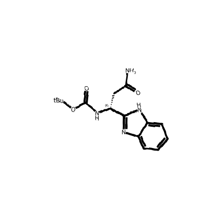 CC(C)(C)OC(=O)N[C@H](CC(N)=O)c1nc2ccccc2[nH]1